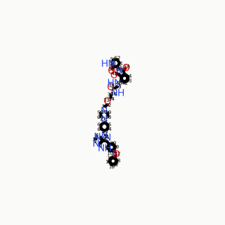 Nc1ncnc2c1c(-c1ccc(Oc3ccccc3)cc1)nn2[C@H]1CC[C@H](N2CCN(CCOCCNC(=O)CNc3cccc4c3C(=O)N(C3CCCNC3=O)C4=O)CC2)CC1